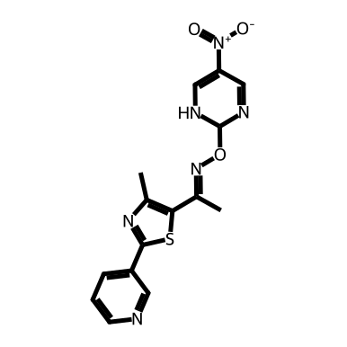 C/C(=N\OC1N=CC([N+](=O)[O-])=CN1)c1sc(-c2cccnc2)nc1C